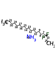 N.[CH2]CCC(F)(F)CCCCCCCCCCCCCCCC